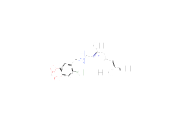 CC(C)=CCC/C(C)=C/CNCc1cc2c(cc1Cl)OCO2